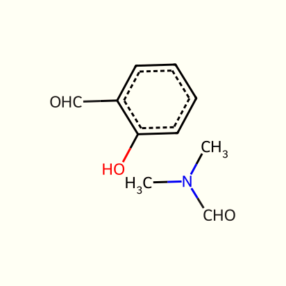 CN(C)C=O.O=Cc1ccccc1O